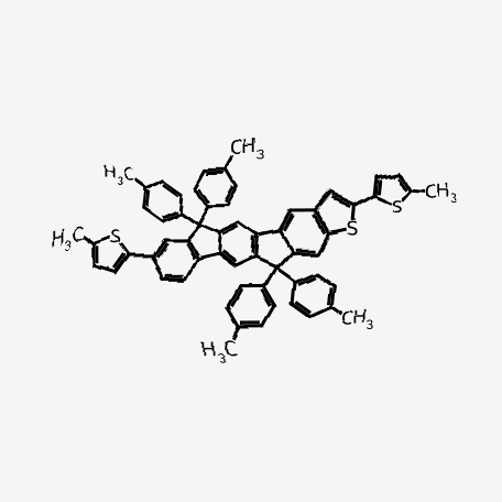 Cc1ccc(C2(c3ccc(C)cc3)c3cc(-c4ccc(C)s4)ccc3-c3cc4c(cc32)-c2cc3cc(-c5ccc(C)s5)sc3cc2C4(c2ccc(C)cc2)c2ccc(C)cc2)cc1